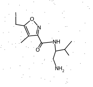 Cc1c(C(=O)NC(CN)C(C)C)noc1CI